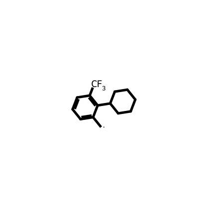 [CH2]c1cccc(C(F)(F)F)c1C1CCCCC1